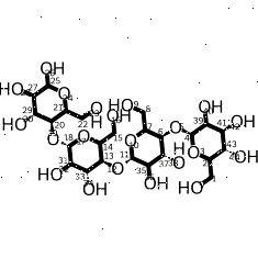 OCC1O[C@@H](O[C@@H]2C(CO)O[C@@H](O[C@@H]3C(CO)O[C@@H](O[C@@H]4C(CO)OC(O)C(O)[C@H]4O)C(O)[C@H]3O)C(O)[C@H]2O)C(O)[C@@H](O)[C@@H]1O